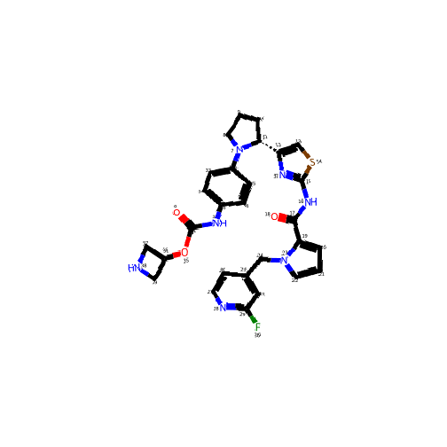 O=C(Nc1ccc(N2CCC[C@@H]2c2csc(NC(=O)c3cccn3Cc3ccnc(F)c3)n2)cc1)OC1CNC1